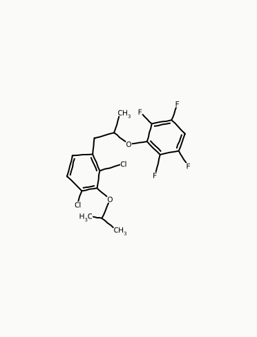 CC(C)Oc1c(Cl)ccc(CC(C)Oc2c(F)c(F)cc(F)c2F)c1Cl